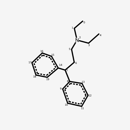 CCN(CC)CCC(c1ccccc1)c1ccccc1